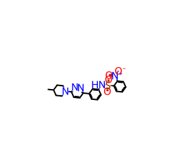 CC1CCN(c2ccc(-c3cccc(NS(=O)(=O)c4ccccc4[N+](=O)[O-])c3)nn2)CC1